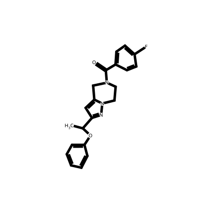 CC(Oc1ccccc1)c1cc2n(n1)CCN(C(=O)c1ccc(F)cc1)C2